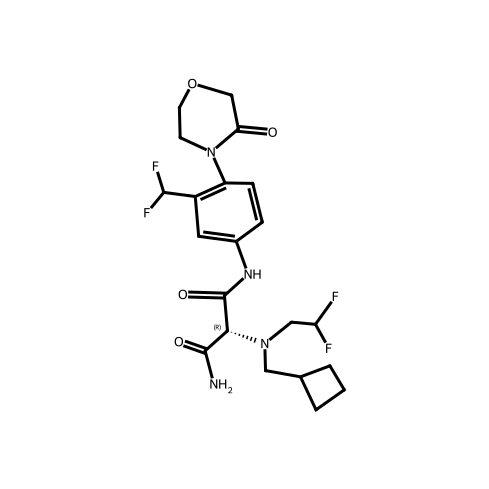 NC(=O)[C@H](C(=O)Nc1ccc(N2CCOCC2=O)c(C(F)F)c1)N(CC(F)F)CC1CCC1